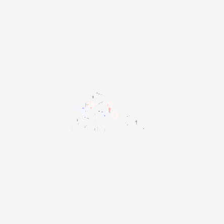 CC(C)(C)C[C@@H]1CN(C(=O)OCc2ccc(C(=O)O)cc2)[C@H](c2cccc(Cl)c2F)[C@]12C(=O)Nc1cc(Cl)ccc12